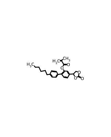 C=C(C)C(=O)Oc1cc(C2COC(=O)O2)ccc1-c1ccc(CCCCCC)cc1